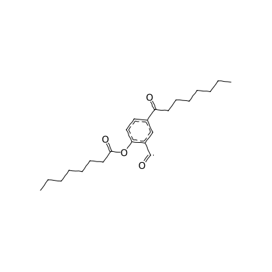 CCCCCCCC(=O)Oc1ccc(C(=O)CCCCCCC)cc1[C]=O